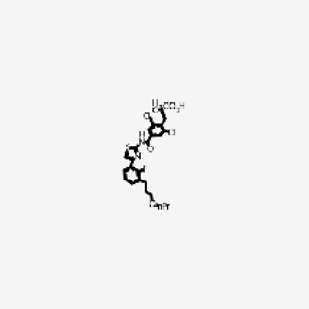 CCCOCCCc1cccc(-c2csc(NC(=O)c3cc(Cl)c(C=C(C)C(=O)O)c(Cl)c3)n2)c1F